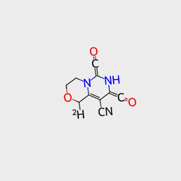 [2H]C1OCCN2C(=C=O)NC(=C=O)C(C#N)=C12